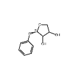 OC1CO[C@H](Oc2ccccc2)C1O